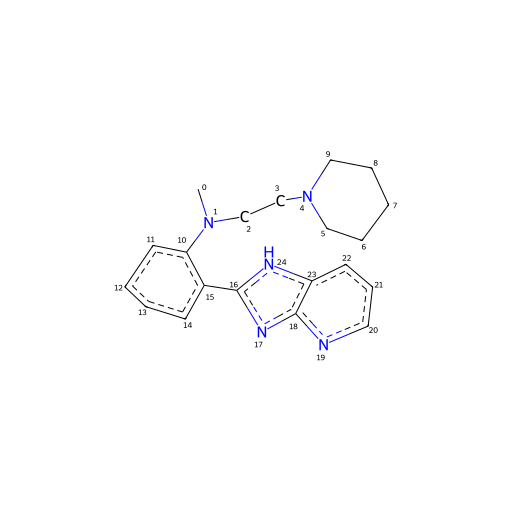 CN(CCN1CCCCC1)c1ccccc1-c1nc2ncccc2[nH]1